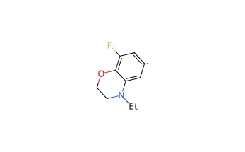 CCN1CCOc2c(F)c[c]cc21